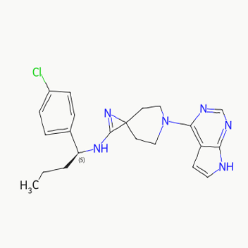 CCC[C@H](NC1=NC12CCN(c1ncnc3[nH]ccc13)CC2)c1ccc(Cl)cc1